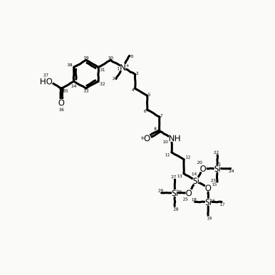 C[N+](C)(CCCCCC(=O)NCCC[Si](O[Si](C)(C)C)(O[Si](C)(C)C)O[Si](C)(C)C)Cc1ccc(C(=O)O)cc1